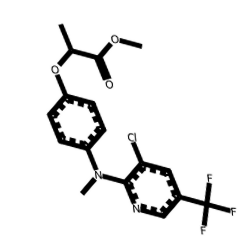 COC(=O)C(C)Oc1ccc(N(C)c2ncc(C(F)(F)F)cc2Cl)cc1